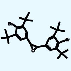 CC(C)(C)c1cc(C2OC2c2cc(C(C)(C)C)c(Br)c(C(C)(C)C)c2)cc(C(C)(C)C)c1Br